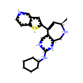 C[C@@H]1C=C(c2cc3cnccc3s2)c2cnc(NC3CCCCC3)nc2CN1